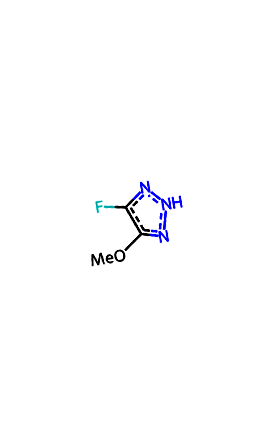 COc1n[nH]nc1F